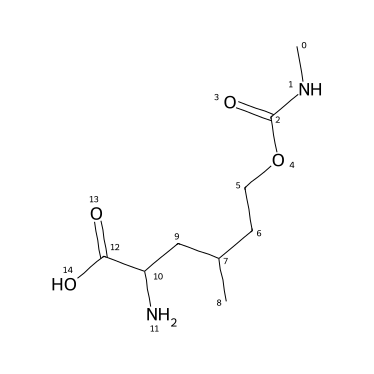 CNC(=O)OCCC(C)CC(N)C(=O)O